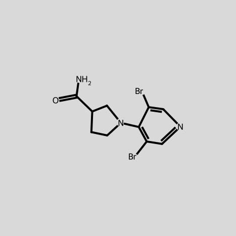 NC(=O)C1CCN(c2c(Br)cncc2Br)C1